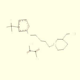 O=C(O)C(=O)O.OCC1CCCN(CCCCOc2cccc(C(F)(F)F)c2)C1